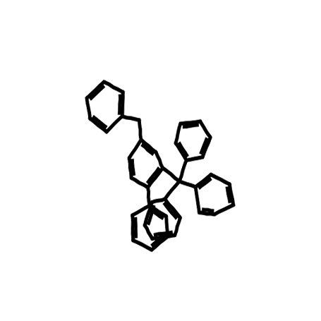 c1ccc(Cc2ccc(-c3ccccc3)c(C(c3ccccc3)(c3ccccc3)c3ccccc3)c2)cc1